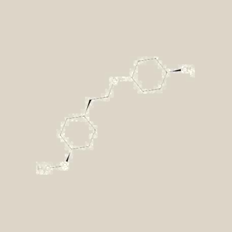 CO[C@H]1CC[C@@H](CCO[C@H]2CC[C@H](C)CC2)CC1